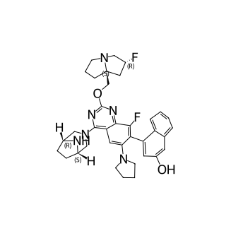 Oc1cc(-c2c(N3CCCC3)cc3c(N4C[C@H]5CC[C@@H](C4)N5)nc(OC[C@@]45CCCN4C[C@H](F)C5)nc3c2F)c2ccccc2c1